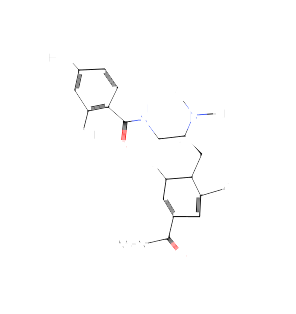 CNC(=O)C1=CC(C)C(C[C@@H](CNC(=O)c2ccc(C)cc2C)N(C)C)C(C)=C1